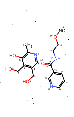 Cc1ncc(CO)c(CO)c1O.O=C(NCCO[N+](=O)[O-])c1cccnc1